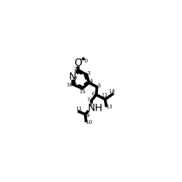 COc1cc(CC(CNC(C)C)C(C)C)ccn1